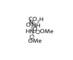 COc1ccc(C(NC(=O)C[C@@H]2NCCN(CC(=O)O)C2=O)c2ccc(OC)cc2)cc1